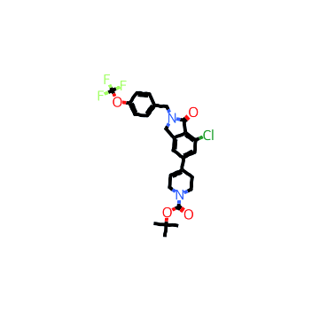 CC(C)(C)OC(=O)N1CC=C(c2cc(Cl)c3c(c2)CN(Cc2ccc(OC(F)(F)F)cc2)C3=O)CC1